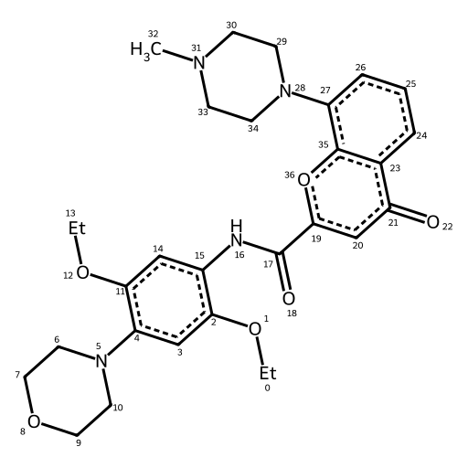 CCOc1cc(N2CCOCC2)c(OCC)cc1NC(=O)c1cc(=O)c2cccc(N3CCN(C)CC3)c2o1